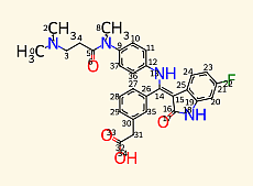 CN(C)CCC(=O)N(C)c1ccc(NC(=C2C(=O)Nc3cc(F)ccc32)c2cccc(CC(=O)O)c2)cc1